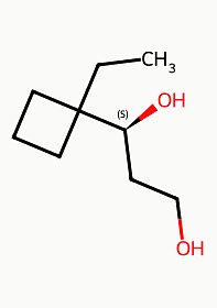 CCC1([C@@H](O)CCO)CCC1